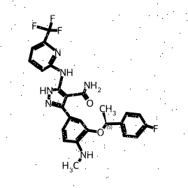 CNc1ccc(-c2n[nH]c(Nc3cccc(C(F)(F)F)n3)c2C(N)=O)cc1O[C@@H](C)c1ccc(F)cc1